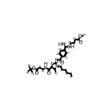 CCCCCCN1C(=NC(=O)c2ccc(C(=N)NCCCC(=O)OC)cc2)SC(C(=O)NCCC(=O)OC(C)(C)C)C1C